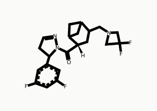 O=C([C@H]1CC(CN2CC(F)(F)C2)C2CC1C2)N1N=CCC1c1cc(F)cc(F)c1